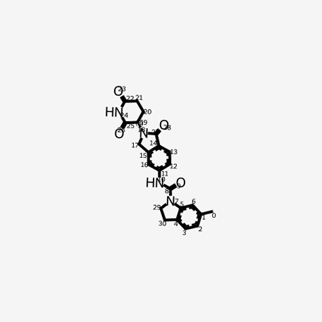 Cc1ccc2c(c1)N(C(=O)Nc1ccc3c(c1)CN([C@@H]1CCC(=O)NC1=O)C3=O)CC2